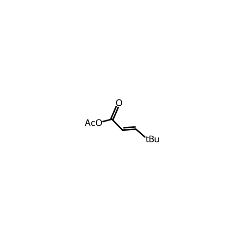 CC(=O)OC(=O)C=CC(C)(C)C